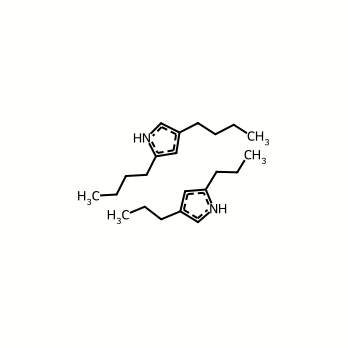 CCCCc1c[nH]c(CCCC)c1.CCCc1c[nH]c(CCC)c1